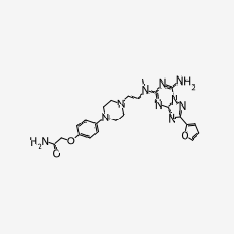 CN(CCN1CCN(c2ccc(OCC(N)=O)cc2)CC1)c1nc(N)n2nc(-c3ccco3)nc2n1